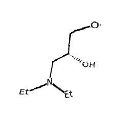 CCN(CC)C[C@@H](O)C[O]